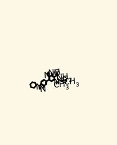 COCCN(C)c1cc(-c2ccc3c(c2)ncn3C2CCCCC2)c2nc[nH]c2c1C(N)=O